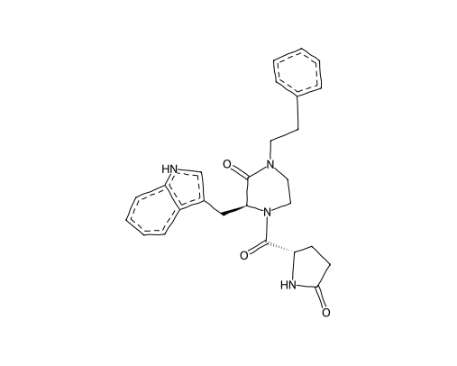 O=C1CC[C@@H](C(=O)N2CCN(CCc3ccccc3)C(=O)[C@@H]2Cc2c[nH]c3ccccc23)N1